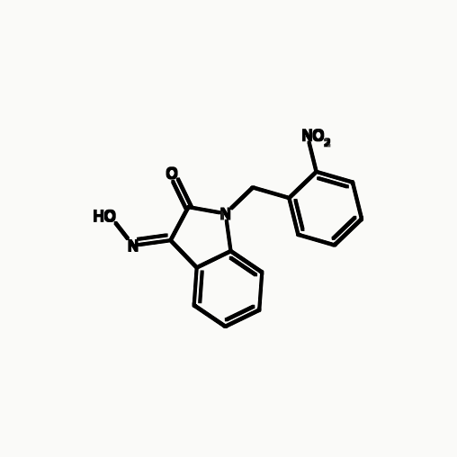 O=C1/C(=N\O)c2ccccc2N1Cc1ccccc1[N+](=O)[O-]